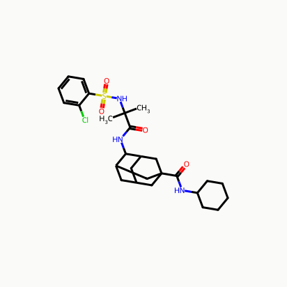 CC(C)(NS(=O)(=O)c1ccccc1Cl)C(=O)NC1C2CC3CC1CC(C(=O)NC1CCCCC1)(C3)C2